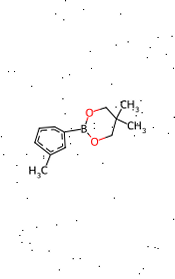 Cc1cccc(B2OCC(C)(C)CO2)c1